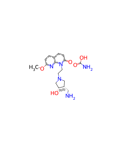 COc1ccc2ccc(=O)n(CCN3C[C@H](CN)[C@H](O)C3)c2n1.NC(=O)O